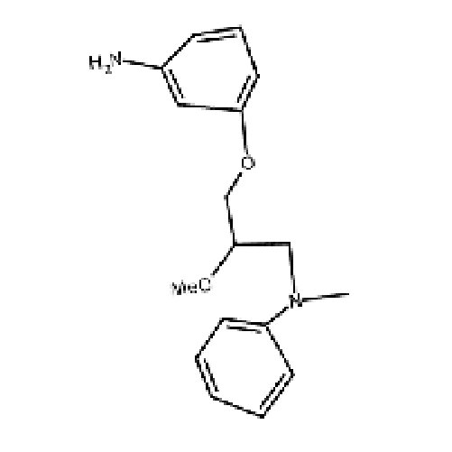 COC(COc1cccc(N)c1)CN(C)c1ccccc1